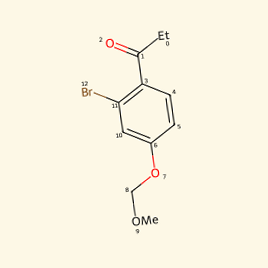 CCC(=O)c1ccc(OCOC)cc1Br